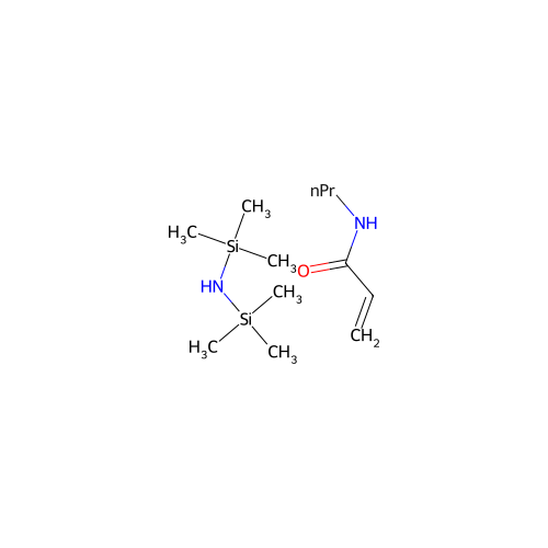 C=CC(=O)NCCC.C[Si](C)(C)N[Si](C)(C)C